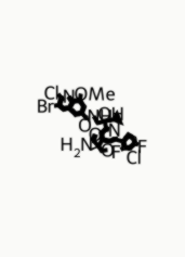 COc1cc(C(=O)NC[C@](O)(c2cc3c(c(-c4ccc(F)c(Cl)c4F)n2)OC[C@]3(C)C(N)=O)C2CC2)cc2cc(Br)c(Cl)nc12